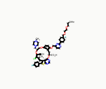 C#C/C1=C(Cl)\C(C)=C(/CC)c2c(-c3ccc(F)cc3)sc3ncnc(c23)O[C@@H](C(=O)O)Cc2cc(ccc2OCc2ccnc(C3=CC[C@](F)(COCCOCCOC)CC3)n2)OC[C@@H](CN2CCN(C)CC2)O1